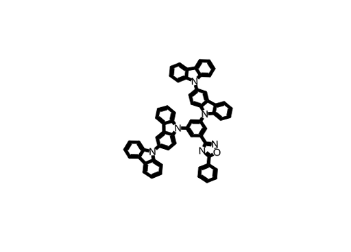 c1ccc(-c2nc(-c3cc(-n4c5ccccc5c5cc(-n6c7ccccc7c7ccccc76)ccc54)cc(-n4c5ccccc5c5cc(-n6c7ccccc7c7ccccc76)ccc54)c3)no2)cc1